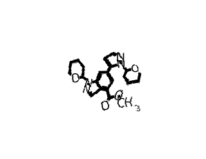 COC(=O)c1cc(-c2ccnn2C2CCCCO2)cc2c1cnn2C1CCCCO1